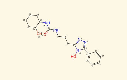 O=C(NCCCc1nnc(-c2ccccc2)n1O)NC1CCCCC1O